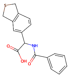 O=C(NC(C(=O)O)c1ccc2c(c1)CSC2)c1ccccc1